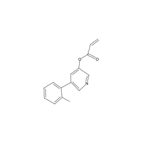 C=CC(=O)Oc1cncc(-c2ccccc2C)c1